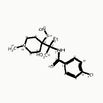 CCC(NC(=O)c1ccc(Cl)cc1)(C(=O)O)C1(SN=O)CCN(C)CC1